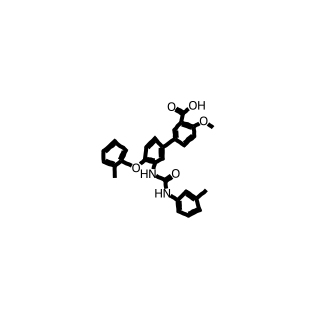 COc1ccc(-c2ccc(Oc3ccccc3C)c(NC(=O)Nc3cccc(C)c3)c2)cc1C(=O)O